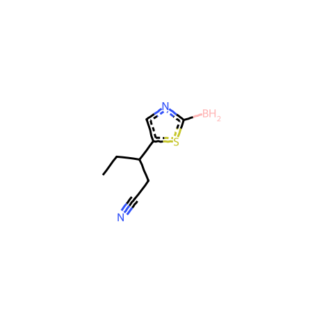 Bc1ncc(C(CC)CC#N)s1